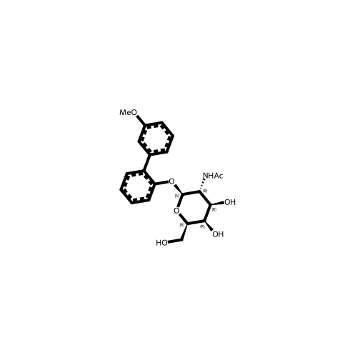 COc1cccc(-c2ccccc2O[C@@H]2O[C@H](CO)[C@H](O)[C@H](O)[C@H]2NC(C)=O)c1